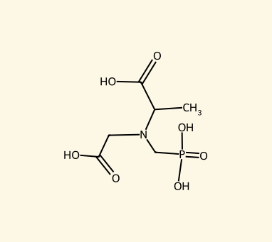 CC(C(=O)O)N(CC(=O)O)CP(=O)(O)O